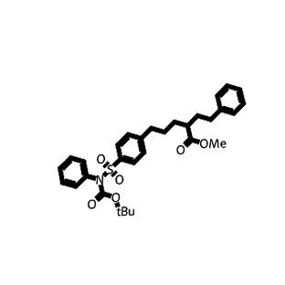 COC(=O)C(CCCc1ccc(S(=O)(=O)N(C(=O)OC(C)(C)C)c2ccccc2)cc1)CCc1ccccc1